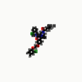 CCN(Cc1ccccc1Cl)C(=O)C1=C(c2ccc(OCCOc3cc(C)c(C)cc3Cl)cc2)C[C@@H]2CN(C(=O)CCC(C)(C)C(=O)O)C[C@H]1N2